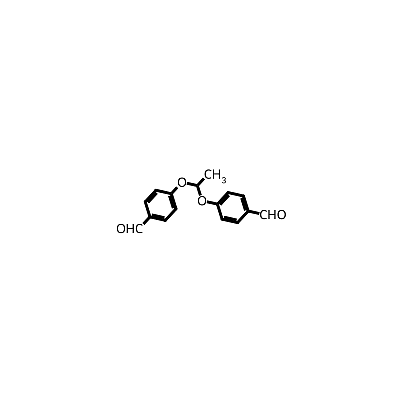 CC(Oc1ccc(C=O)cc1)Oc1ccc(C=O)cc1